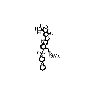 CC[C@@]1(O)C(=O)OCc2c1cc1n(c2=O)Cc2cc3c(C/C=N/OC)c(OC(=O)N4CCC(N5CCCCC5)CC4)ccc3nc2-1